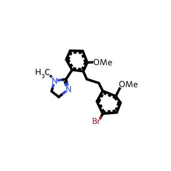 COc1ccc(Br)cc1CCc1c(OC)cccc1C1=NCCN1C